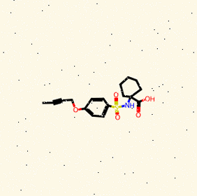 CC#CCOc1ccc(S(=O)(=O)NC2(C(=O)O)CCCCC2)cc1